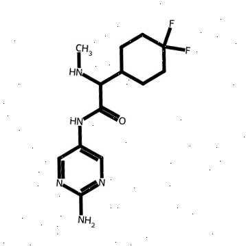 CNC(C(=O)Nc1cnc(N)nc1)C1CCC(F)(F)CC1